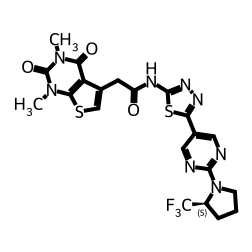 Cn1c(=O)c2c(CC(=O)Nc3nnc(-c4cnc(N5CCC[C@H]5C(F)(F)F)nc4)s3)csc2n(C)c1=O